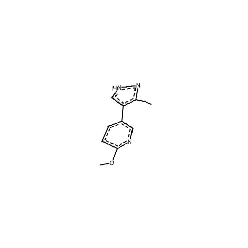 COc1ccc(-c2c[nH]nc2C)cn1